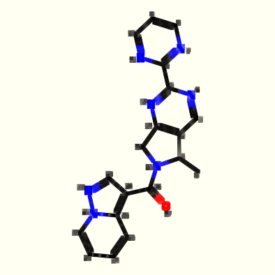 CC1c2cnc(-c3ncccn3)nc2CN1C(=O)c1cnn2ccccc12